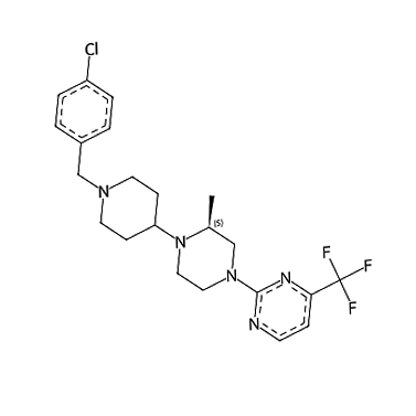 C[C@H]1CN(c2nccc(C(F)(F)F)n2)CCN1C1CCN(Cc2ccc(Cl)cc2)CC1